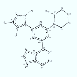 Cc1nn(C)c(C)c1-c1nc(-c2ccnc3[nH]ccc23)cc(N2CCOC[C@H]2C)n1